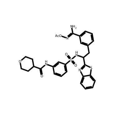 CC(=O)ON=C(N)c1cccc(CC(NS(=O)(=O)c2cccc(NC(=O)C3CCOCC3)c2)c2nc3ccccc3s2)c1